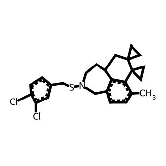 Cc1ccc2c3c1C1(CC1)C1(CC1)CC3CCN(SCc1ccc(Cl)c(Cl)c1)C2